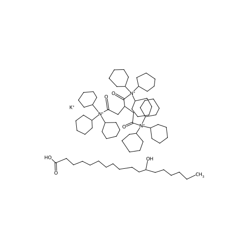 CCCCCCC(O)CCCCCCCCCCC(=O)O.O=C(CC(CC(=O)[N+](C1CCCCC1)(C1CCCCC1)C1CCCCC1)C(=O)[N+](C1CCCCC1)(C1CCCCC1)C1CCCCC1)[N+](C1CCCCC1)(C1CCCCC1)C1CCCCC1.[K+]